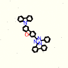 c1ccc(-c2nc(-c3ccc4c(c3)oc3ccc(-n5c6ccccc6c6ccccc65)cc34)nc(-c3ccccc3-c3ccccc3)n2)cc1